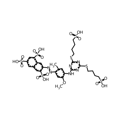 COc1cc(N=Nc2cc3c(S(=O)(=O)O)cc(S(=O)(=O)O)cc3cc2S(=O)(=O)O)c(C)cc1Nc1nc(SCCCCS(=O)(=O)O)nc(SCCCCS(=O)(=O)O)n1